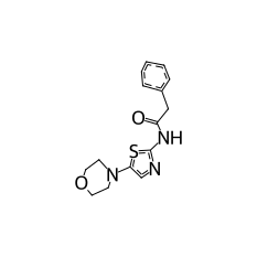 O=C(Cc1ccccc1)Nc1ncc(N2CCOCC2)s1